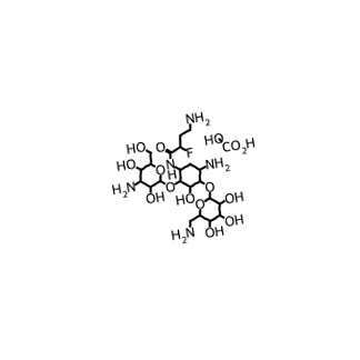 NCCC(F)C(=O)NC1CC(N)C(OC2OC(CN)C(O)C(O)C2O)C(O)C1OC1OC(CO)C(O)C(N)C1O.O=C(O)O